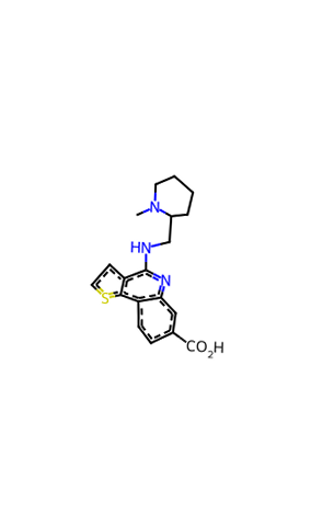 CN1CCCCC1CNc1nc2cc(C(=O)O)ccc2c2sccc12